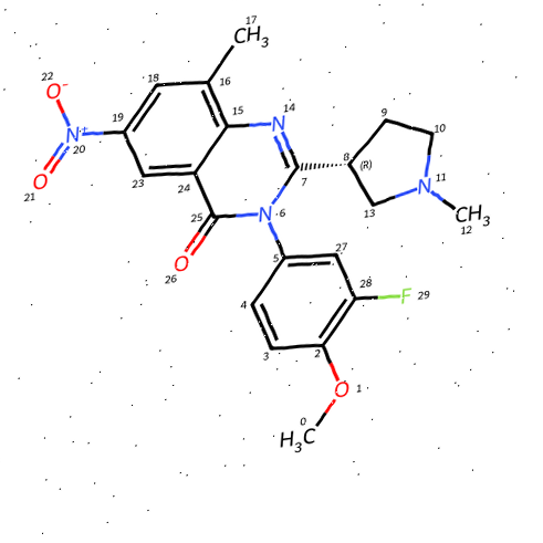 COc1ccc(-n2c([C@@H]3CCN(C)C3)nc3c(C)cc([N+](=O)[O-])cc3c2=O)cc1F